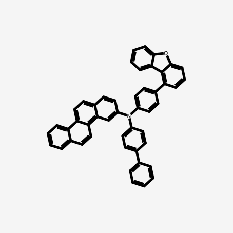 c1ccc(-c2ccc(N(c3ccc(-c4cccc5oc6ccccc6c45)cc3)c3ccc4ccc5c6ccccc6ccc5c4c3)cc2)cc1